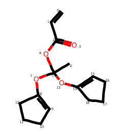 C=CC(=O)OC(C)(OC1=CCCC1)OC1=CCCC1